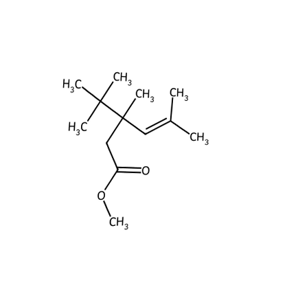 COC(=O)CC(C)(C=C(C)C)C(C)(C)C